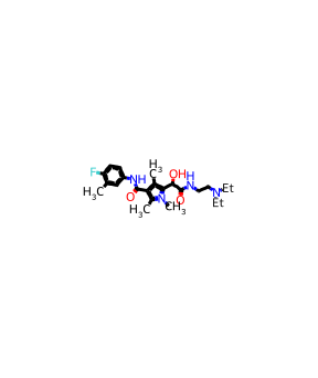 CCN(CC)CCNC(=O)C(O)c1c(C)c(C(=O)Nc2ccc(F)c(C)c2)c(C)n1C